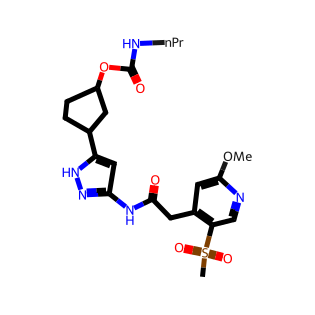 CCCNC(=O)OC1CCC(c2cc(NC(=O)Cc3cc(OC)ncc3S(C)(=O)=O)n[nH]2)C1